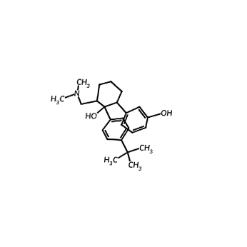 CN(C)CC1CCCC(c2cccc(O)c2)C1(O)c1ccc(C(C)(C)C)cc1